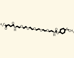 CSC1CCC(OC(=O)NCCOCCOCCOCCOCCOCCNC(=O)CCC(C)=O)CC1